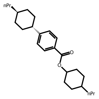 CCCC1CCC(OC(=O)c2ccc([C@H]3CC[C@H](CCC)CC3)cc2)CC1